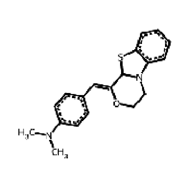 CN(C)c1ccc(C=C2OCCN3c4ccccc4SC23)cc1